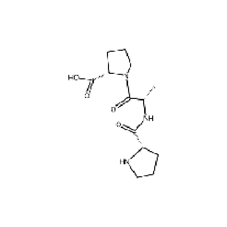 C[C@H](NC(=O)[C@@H]1CCCN1)C(=O)N1CCC[C@H]1C(=O)O